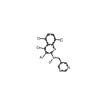 CC(=O)c1c([S+]([O-])Cc2cncnc2)nc2c(Cl)ccc(Cl)c2c1Cl